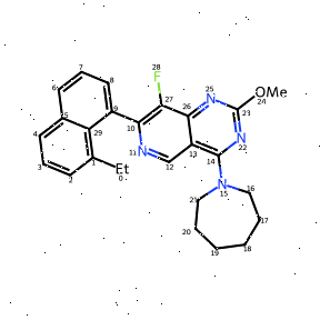 CCc1cccc2cccc(-c3ncc4c(N5CCCCCC5)nc(OC)nc4c3F)c12